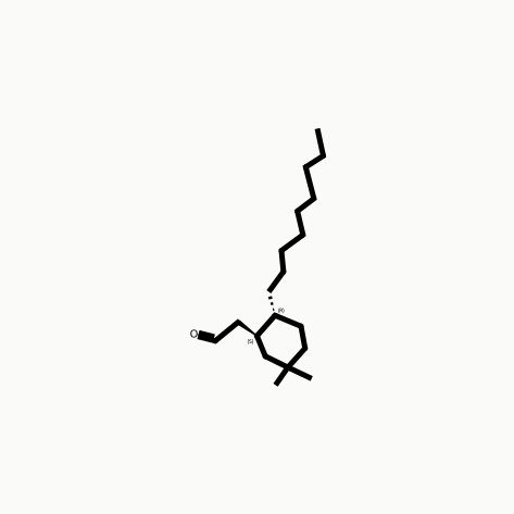 CCCCCCCCC[C@@H]1CCC(C)(C)C[C@H]1CC=O